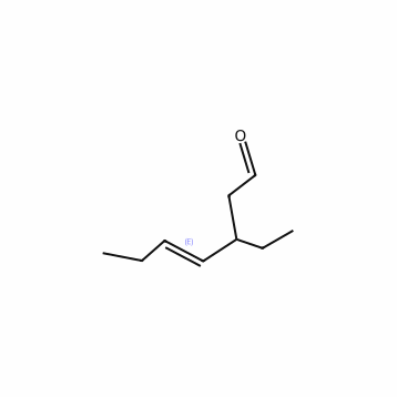 CC/C=C/C(CC)CC=O